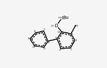 Cc1cccc(-c2ccccc2)c1OC(C)(C)C